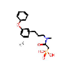 CN(CCCc1cccc(Oc2ccccc2)c1)C(=O)CP(=O)(O)O.[K].[K]